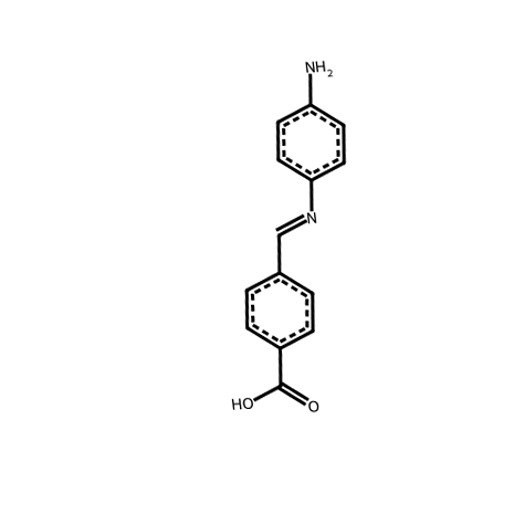 Nc1ccc(N=Cc2ccc(C(=O)O)cc2)cc1